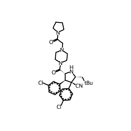 CC(C)(C)C[C@H]1N[C@@H](C(=O)N2CCN(CC(=O)N3CCCC3)CC2)[C@H](c2cccc(Cl)c2)[C@@]1(C#N)c1ccc(Cl)cc1